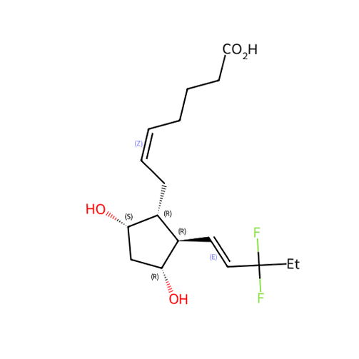 CCC(F)(F)/C=C/[C@@H]1[C@@H](C/C=C\CCCC(=O)O)[C@@H](O)C[C@H]1O